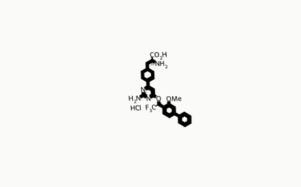 COc1cc(-c2ccccc2)ccc1[C@@H](Oc1cc(C2=CCC(C[C@H](N)C(=O)O)CC2)nc(N)n1)C(F)(F)F.Cl